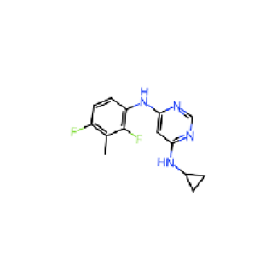 Cc1c(F)ccc(Nc2cc(NC3CC3)ncn2)c1F